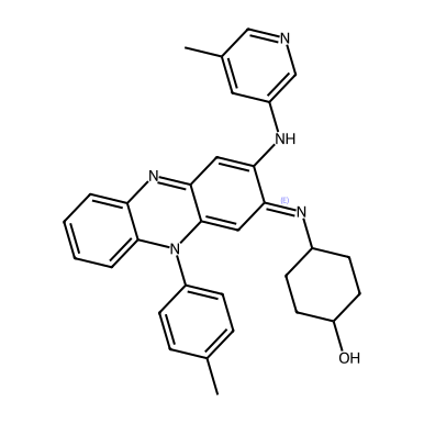 Cc1ccc(-n2c3c/c(=N\C4CCC(O)CC4)c(Nc4cncc(C)c4)cc-3nc3ccccc32)cc1